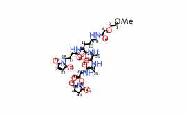 COCCOCC(=O)NCCCC[C@H](NC(=O)CCCN1C(=O)C=CC1=O)C(=O)N[C@@H](C)C(=O)N[C@@H](C)C(=O)NCC(=O)ON1C(=O)CCC1=O